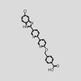 O=C(O)c1ccc(COc2ccc(-c3ccc(-c4nc5cc(Cl)ccc5[nH]4)cn3)cn2)cc1